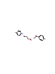 CCOC(=O)c1ccc(NC(=O)CCC(=O)OCC(=O)c2ccc(Br)cc2)cc1